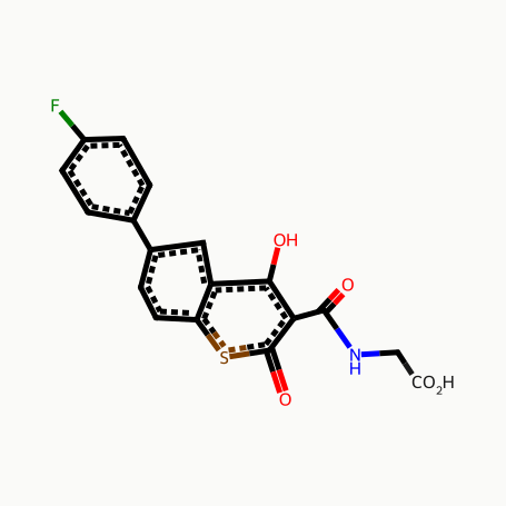 O=C(O)CNC(=O)c1c(O)c2cc(-c3ccc(F)cc3)ccc2sc1=O